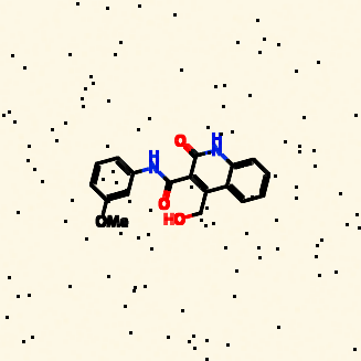 COc1cccc(NC(=O)c2c(CO)c3ccccc3[nH]c2=O)c1